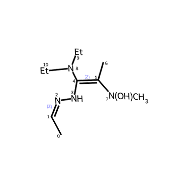 C/C=N\N/C(=C(/C)N(C)O)N(CC)CC